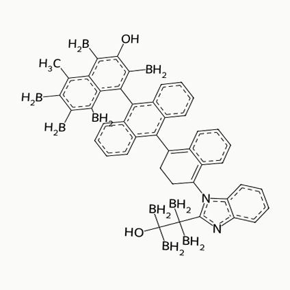 Bc1c(B)c(C)c2c(B)c(O)c(B)c(-c3c4ccccc4c(C4=c5ccccc5=C(n5c(C(B)(B)C(B)(B)O)nc6ccccc65)CC4)c4ccccc34)c2c1B